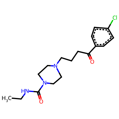 CCNC(=O)N1CCN(CCCC(=O)c2ccc(Cl)cc2)CC1